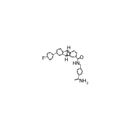 C=C(N)c1ccc(CNC(=O)c2ccc3c(c2)[C@@H]2O[C@H]3c3ccc(-c4ccc(F)cc4)cc32)cc1